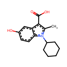 Cc1c(C(=O)O)c2cc(O)ccc2n1C1CCCCC1